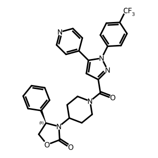 O=C(c1cc(-c2ccncc2)n(-c2ccc(C(F)(F)F)cc2)n1)N1CCC(N2C(=O)OC[C@H]2c2ccccc2)CC1